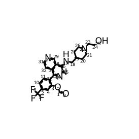 O=COc1cc(C(F)(F)F)ccc1-c1nnc(NCC2CCN(CCO)CC2)c2cnccc12